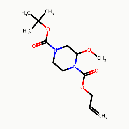 C=CCOC(=O)N1CCN(C(=O)OC(C)(C)C)CC1OC